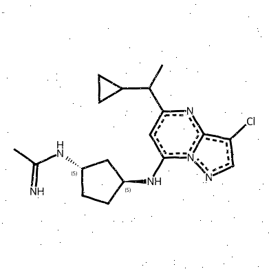 CC(=N)N[C@H]1CC[C@H](Nc2cc(C(C)C3CC3)nc3c(Cl)cnn23)C1